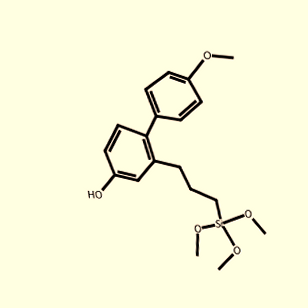 COc1ccc(-c2ccc(O)cc2CCC[Si](OC)(OC)OC)cc1